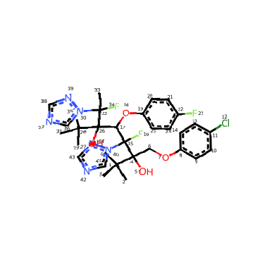 CC(C)(C)C(O)(COc1ccc(Cl)cc1)C(F)(C(Oc1ccc(F)cc1)C(O)(C(C)(C)C)C(C)(F)n1cncn1)n1cncn1